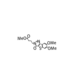 COC(=O)CCCn1cnc2c(sc3cc(OC)c(OC)cc32)c1=O